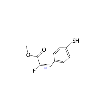 COC(=O)/C(F)=C\c1ccc(S)cc1